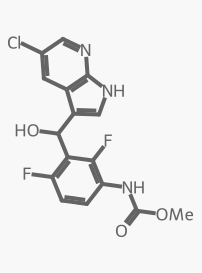 COC(=O)Nc1ccc(F)c(C(O)c2c[nH]c3ncc(Cl)cc23)c1F